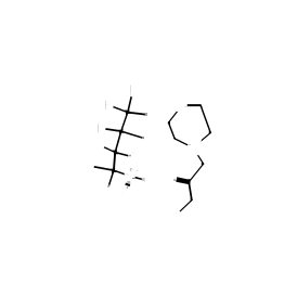 CCC(=O)C[S+]1CCSCC1.O=S(=O)([O-])C(F)(F)C(F)(F)C(F)(F)C(F)(F)F